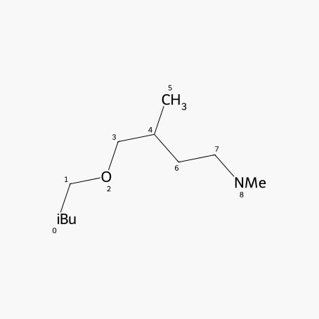 CCC(C)COCC(C)CCNC